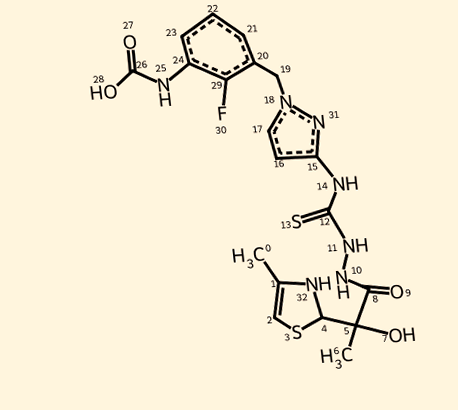 CC1=CSC(C(C)(O)C(=O)NNC(=S)Nc2ccn(Cc3cccc(NC(=O)O)c3F)n2)N1